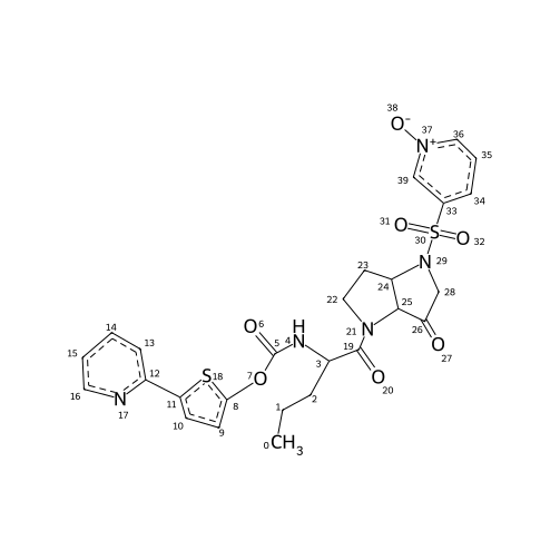 CCCC(NC(=O)Oc1ccc(-c2ccccn2)s1)C(=O)N1CCC2C1C(=O)CN2S(=O)(=O)c1ccc[n+]([O-])c1